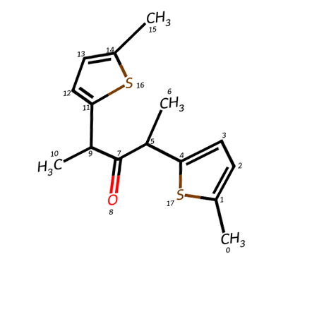 Cc1ccc(C(C)C(=O)C(C)c2ccc(C)s2)s1